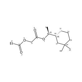 CCC(=O)OCC(=O)O[C@@H](C)[C@@H]1CCCC(C)(C)C1